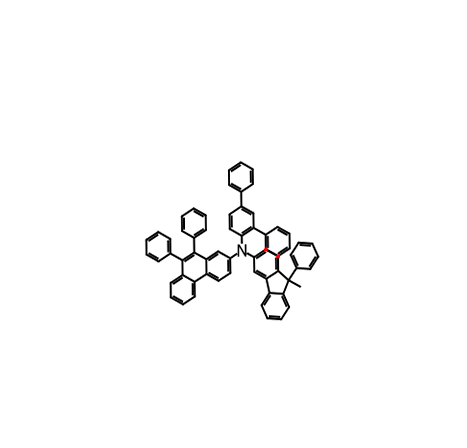 CC1(c2ccccc2)c2ccccc2-c2cc(N(c3ccc4c(c3)c(-c3ccccc3)c(-c3ccccc3)c3ccccc34)c3ccc(-c4ccccc4)cc3-c3ccccc3)ccc21